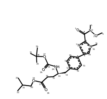 CON(C)C(=O)c1nc(-c2ccc(C[C@@H](CCC(=O)OCC(C)C)NC(=O)OC(C)(C)C)cc2)cn1C